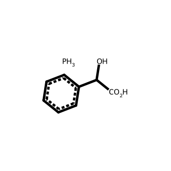 O=C(O)C(O)c1ccccc1.P